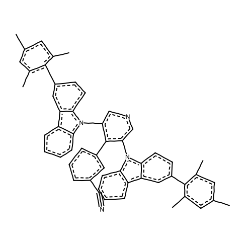 Cc1cc(C)c(-c2ccc3c(c2)c2ccccc2n3-c2cncc(-n3c4ccccc4c4cc(-c5c(C)cc(C)cc5C)ccc43)c2-c2cccc(C#N)c2)c(C)c1